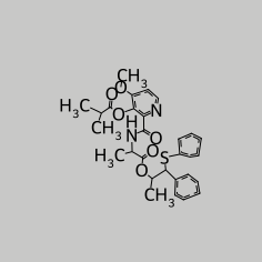 COc1ccnc(C(=O)NC(C)C(=O)OC(C)C(Sc2ccccc2)c2ccccc2)c1OC(=O)C(C)C